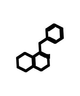 c1ccc(CC2=NCCC3=C2CCCC3)cc1